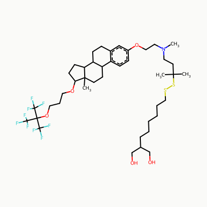 CN(CCOc1ccc2c(c1)CCC1C2CCC2(C)C(OCCCOC(C(F)(F)F)(C(F)(F)F)C(F)(F)F)CCC12)CCC(C)(C)SSCCCCCCC(CO)CO